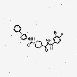 N=C(Nc1ccc(F)c(Br)c1)C(=O)C1CCN(C(=O)Nc2cnn(-c3ccccc3)c2)CC1